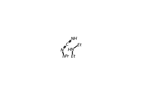 CCCN=C=N.CCNCC